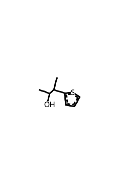 CC(O)C(C)c1cccs1